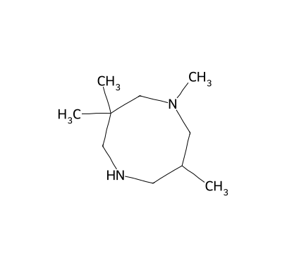 CC1CNCC(C)(C)CN(C)C1